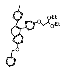 CCOC(COc1ccc(C2=C(c3ccc(C)cc3)CCc3cc(OCc4ccccc4)ccc32)cc1)OCC